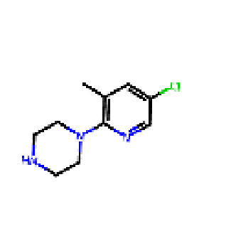 Cc1cc(Cl)cnc1N1CCNCC1